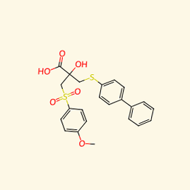 COc1ccc(S(=O)(=O)CC(O)(CSc2ccc(-c3ccccc3)cc2)C(=O)O)cc1